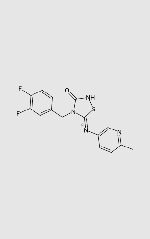 Cc1ccc(/N=c2\s[nH]c(=O)n2Cc2ccc(F)c(F)c2)cn1